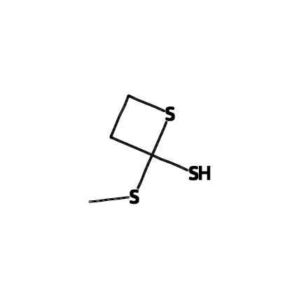 CSC1(S)CCS1